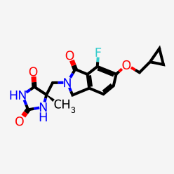 C[C@@]1(CN2Cc3ccc(OCC4CC4)c(F)c3C2=O)NC(=O)NC1=O